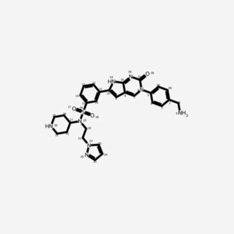 NCc1ccc(-n2cc3cc(-c4cccc(S(=O)(=O)N(CCn5cccn5)C5CCNCC5)c4)[nH]c3nc2=O)cc1